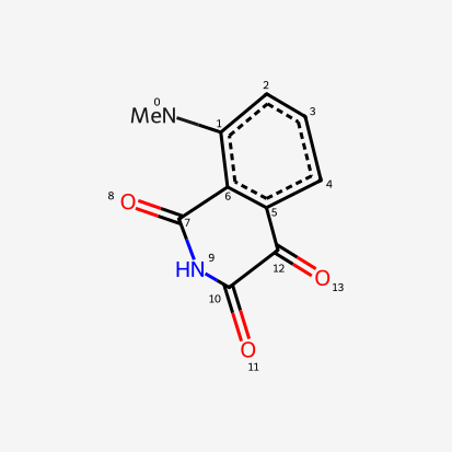 CNc1cccc2c1C(=O)NC(=O)C2=O